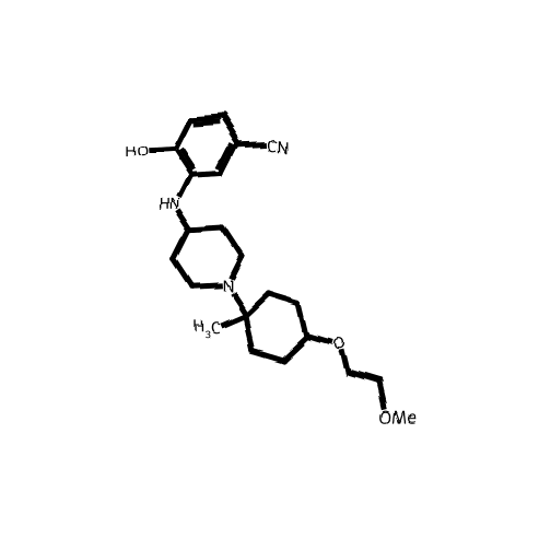 COCCOC1CCC(C)(N2CCC(Nc3cc(C#N)ccc3O)CC2)CC1